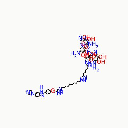 CN1CCN(c2ccc3nc(-c4ccc(OCc5cn(CCCCCCCCCCn6cc(CCCCc7cn(C[C@H]8OC(O[C@@H]9C(O)[C@H](N)CC(N)[C@H]9O[C@H]9OC(CN)[C@@H](O)[C@H](O)C9N)[C@@H](O)[C@H]8O[C@H]8O[C@@H](CN)[C@@H](O)C(O)C8N)nn7)nn6)nn5)cc4)[nH]c3c2)CC1